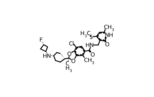 CSc1cc(C)[nH]c(=O)c1CNC(=O)c1cc(Cl)c2c(c1C)O[C@@](C)([C@H]1CC[C@@H](N[C@H]3C[C@@H](F)C3)CC1)O2